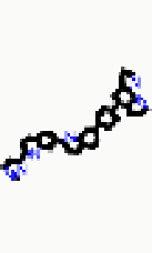 c1cnc2c(c1)cc(-c1ccc(-c3ccc4ccc(-c5ccc6ccc(-c7ccncn7)nc6c5)nc4c3)cc1)c1cccnc12